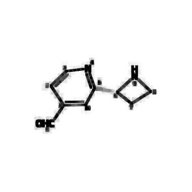 O=Cc1ccnc([C@H]2CCN2)c1